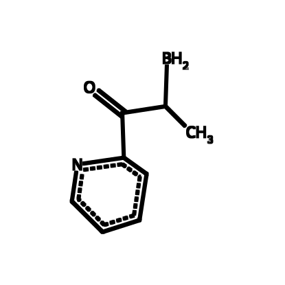 BC(C)C(=O)c1ccccn1